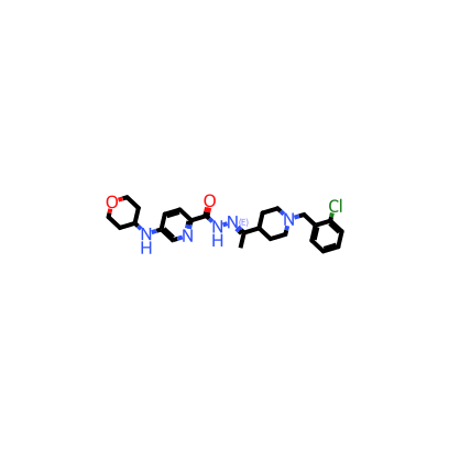 C/C(=N\NC(=O)c1ccc(NC2CCOCC2)cn1)C1CCN(Cc2ccccc2Cl)CC1